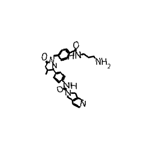 CC1CC(=O)N(Cc2ccc(C(=O)NCCCN)cc2)N=C1c1ccc(NC(=O)N2Cc3ccncc3C2)cc1